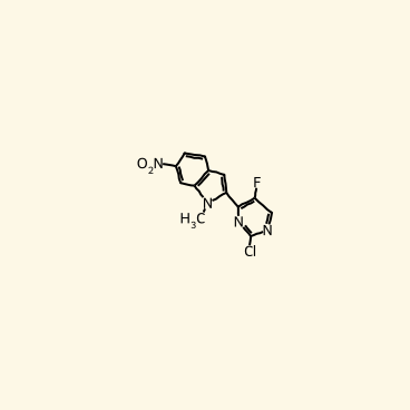 Cn1c(-c2nc(Cl)ncc2F)cc2ccc([N+](=O)[O-])cc21